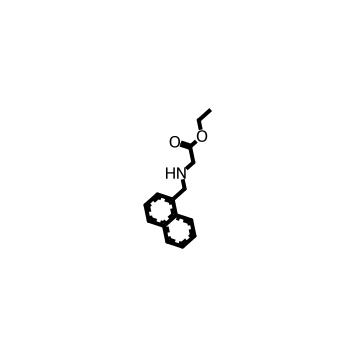 CCOC(=O)CNCc1cccc2ccccc12